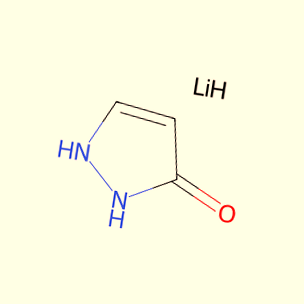 O=c1cc[nH][nH]1.[LiH]